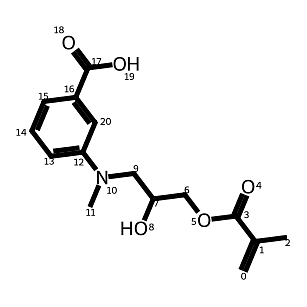 C=C(C)C(=O)OCC(O)CN(C)c1cccc(C(=O)O)c1